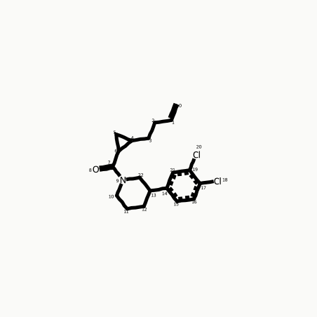 C=CCCC1CC1C(=O)N1CCCC(c2ccc(Cl)c(Cl)c2)C1